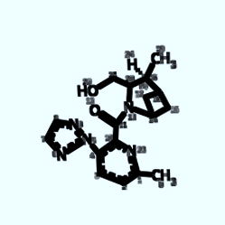 Cc1ccc(-n2nccn2)c(C(=O)N2C3CC(C3)[C@H](C)C2CO)n1